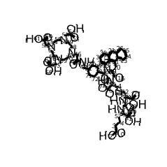 O=C(O)CCC[C@H](NC(=O)N[C@@H](CSC[C@H](NC(=O)[C@H](Cc1c2ccccc2cc2ccccc12)NC(=O)C1CCC(CNC(=O)CN2CCN(CC(=O)O)CCN(CC(=O)O)CCN(CC(=O)O)CC2)CC1)C(=O)O)C(=O)O)C(=O)O